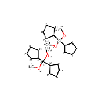 CO[Si](OC)(C1CCCC1)C1CCCC1.CO[Si](OC)(C1CCCC1)C1CCCC1